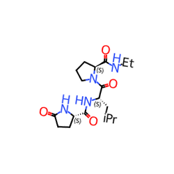 CCNC(=O)[C@@H]1CCCN1C(=O)[C@H](CC(C)C)NC(=O)[C@@H]1CCC(=O)N1